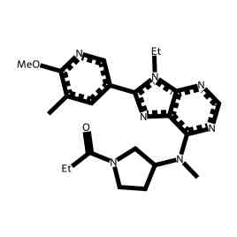 CCC(=O)N1CCC(N(C)c2ncnc3c2nc(-c2cnc(OC)c(C)c2)n3CC)C1